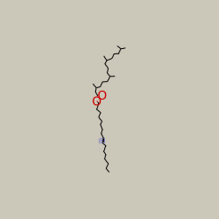 CCCCCCC/C=C/CCCCCCCCOC(=O)CC(C)CCCC(C)CCCC(C)CCCC(C)C